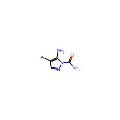 CC(C)c1cnn(C(N)=O)c1N